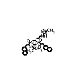 Cc1nnc(NCCC[C@H]2CN(C(=O)[C@H](N)Cc3ccc4ccccc4c3)[C@H](CC(C)C)CN2C(=O)[C@H](N)Cc2ccc3ccccc3c2)s1